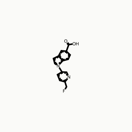 O=C(O)c1ccc2c(ccn2-c2ccc(CF)nc2)c1